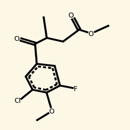 COC(=O)CC(C)C(=O)c1cc(F)c(OC)c(Cl)c1